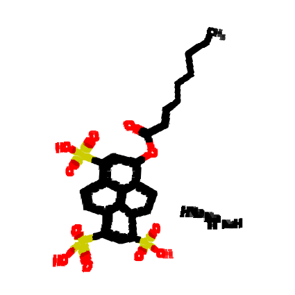 CCCCCCCCC(=O)Oc1cc(S(=O)(=O)O)c2ccc3c(S(=O)(=O)O)cc(S(=O)(=O)O)c4ccc1c2c43.[NaH].[NaH].[NaH]